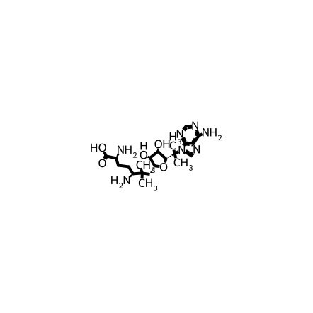 CC(C)(C[C@H]1O[C@@H](C(C)(C)n2cnc3c(N)ncnc32)[C@H](O)[C@@H]1O)[C@@H](N)CC[C@H](N)C(=O)O